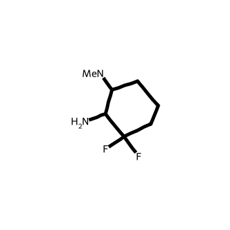 CNC1CCCC(F)(F)C1N